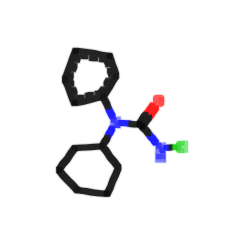 O=C(NCl)N(c1ccccc1)C1CCCCC1